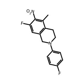 Cc1c2c(cc(F)c1[N+](=O)[O-])CN(c1ccc(F)cc1)CC2